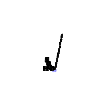 CC#CC#CC#CC#CC#CC#CC#CC#CC#CC#C/C=C\OCC(CC)OCOCC[Si](C)(C)C